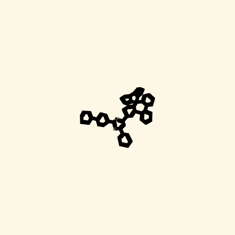 c1ccc(-c2ccc(-c3nc(-c4ccccc4)cc(-c4ccc5c(c4)-c4ccccc4-c4ccccc4C54c5ccccc5-c5ccccc54)n3)cc2)cc1